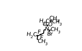 C=C(CC)C(F)(F)CCN(C(=O)OC(C)(C)C)C(C)Br